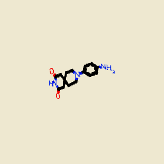 Nc1ccc(N2CCC3(CC2)CC(=O)NC(=O)C3)cc1